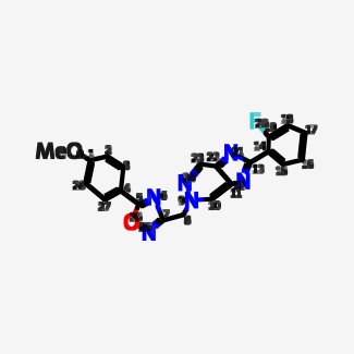 COc1ccc(-c2nc(Cn3cc4nc(-c5ccccc5F)nc-4cn3)no2)cc1